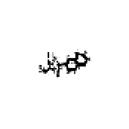 CN1C(c2ccc3ccccc3c2)=NNC1C=S